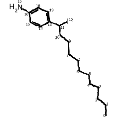 CCCCCCCCCCCC(I)c1ccc(N)cc1